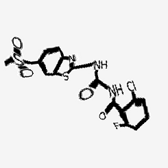 CS(=O)(=O)c1ccc2nc(NC(=O)NC(=O)c3c(F)cccc3Cl)sc2c1